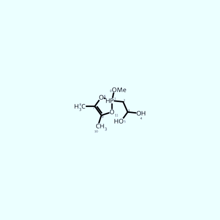 CO[PH]1(CC(O)O)OC(C)=C(C)O1